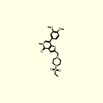 CCS(=O)(=O)N1CCN(Cc2cc3c(=O)n(C)cc(-c4ccc(OC)c(OC)c4)c3s2)CC1